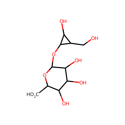 O=C(O)C1OC(OC2C(O)C2CO)C(O)C(O)C1O